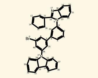 Brc1cc(-c2cccc(-n3c(-c4ccccc4)nc4ccccc43)c2)cc(-n2c3ccccc3c3ccccc32)c1